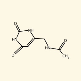 CC(=O)NCc1cc(=O)[nH]c(=O)[nH]1